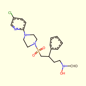 O=CN(O)CCC(CS(=O)(=O)N1CCN(c2ccc(Cl)cn2)CC1)c1ccccc1